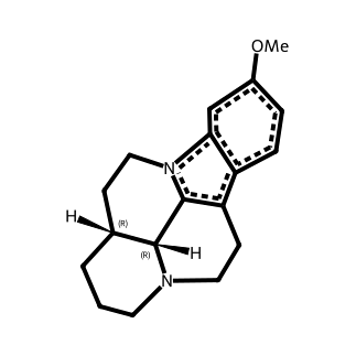 COc1ccc2c3c4n(c2c1)CC[C@H]1CCCN(CC3)[C@@H]41